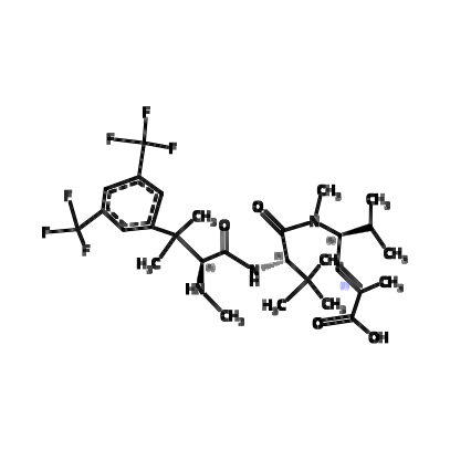 CN[C@H](C(=O)N[C@H](C(=O)N(C)[C@H](/C=C(\C)C(=O)O)C(C)C)C(C)(C)C)C(C)(C)c1cc(C(F)(F)F)cc(C(F)(F)F)c1